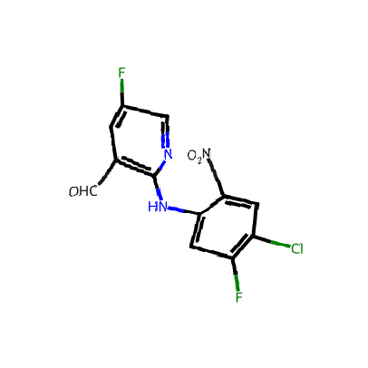 O=Cc1cc(F)cnc1Nc1cc(F)c(Cl)cc1[N+](=O)[O-]